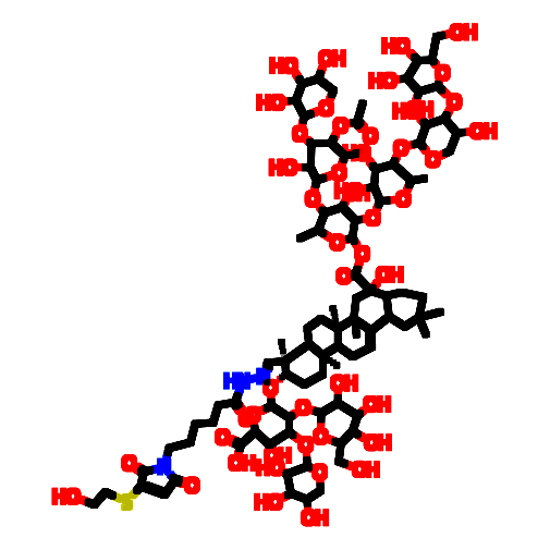 CC(=O)OC1C(C)OC(OC2C(C)OC(OC(=O)[C@@]3(O)C[C@]4(C)C(=CCC5[C@@]6(C)CC[C@H](OC7OC(C(=O)O)C(O)C(OC8OCC(O)C(O)C8O)C7OC7OC(CO)C(O)C(O)C7O)[C@@](C)(/C=N/NC(=O)CCCCCN7C(=O)C=C(SCCO)C7=O)C6CC[C@]54C)C4CC(C)(C)CCC43)C(OC3OC(C)C(OC4OCC(O)C(OC5OC(CO)C(O)C(O)C5O)C4O)C(O)C3O)C2O)C(O)C1OC1OCC(O)C(O)C1O